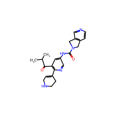 CC(C)C(=O)c1cc(NC(=O)N2Cc3ccncc3C2)cnc1C1=CCNCC1